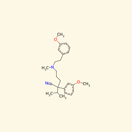 COc1cccc(CCN(C)CCCC(C#N)(c2cccc(OC)c2)C(C)C)c1